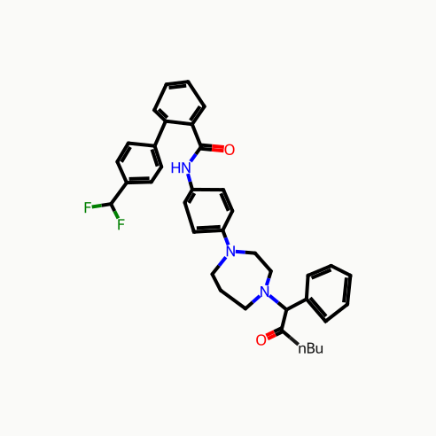 CCCCC(=O)C(c1ccccc1)N1CCCN(c2ccc(NC(=O)c3ccccc3-c3ccc(C(F)F)cc3)cc2)CC1